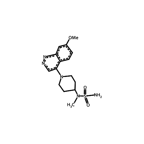 COc1ccc2c(N3CCC(N(C)S(N)(=O)=O)CC3)cnnc2c1